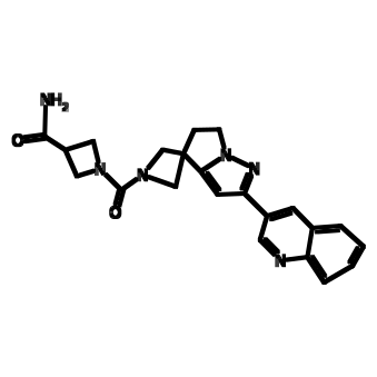 NC(=O)C1CN(C(=O)N2CC3(CCn4nc(-c5cnc6ccccc6c5)cc43)C2)C1